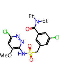 CCN(CC)C(=O)c1cc(Cl)cc(CS(=O)(=O)Nc2nnc(Cl)cc2OC)c1